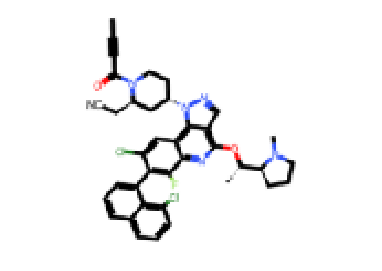 CC#CC(=O)N1CC[C@H](n2ncc3c(O[C@@H](C)[C@@H]4CCCN4C)nc4c(F)c(-c5cccc6cccc(Cl)c56)c(Cl)cc4c32)C[C@H]1CC#N